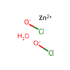 O.[O-]Cl.[O-]Cl.[Zn+2]